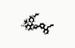 C=CCCc1ccncc1-c1cccc(-c2cc3nc(C)c(C(OC(C)(C)C)C(=O)O)c(N4CCC(C)(OCC=C)CC4)n3n2)c1